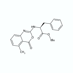 Cc1cccc2nc(N[C@@H](Cc3ccccc3)C(=O)OC(C)(C)C)oc(=O)c12